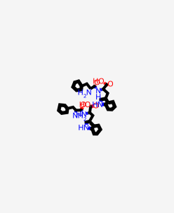 NC(Cc1ccccc1)C(=O)NC(Cc1c[nH]c2ccccc12)C(=O)O.NC(Cc1ccccc1)C(=O)NC(Cc1c[nH]c2ccccc12)C(=O)O